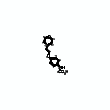 O=C(O)Nc1ccc(OCCN2CCOCC2)cc1